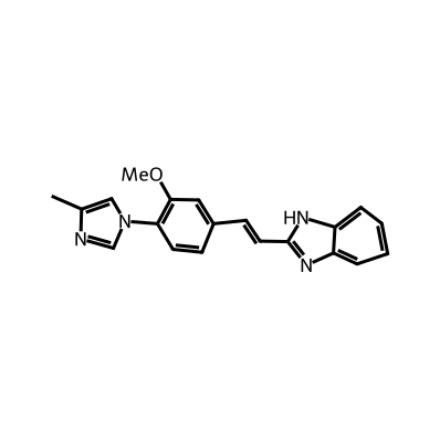 COc1cc(C=Cc2nc3ccccc3[nH]2)ccc1-n1cnc(C)c1